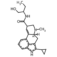 CCC(CO)NC(=O)C1C=C2c3cccc4[nH]c(C5CC5)c(c34)C[C@H]2N(C)C1